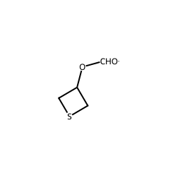 O=[C]OC1CSC1